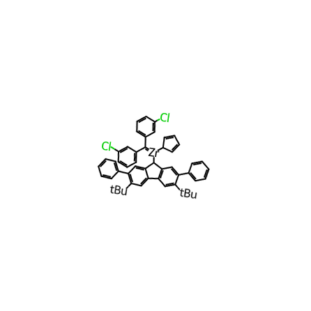 CC(C)(C)c1cc2c(cc1-c1ccccc1)[CH]([Zr](=[C](c1cccc(Cl)c1)c1cccc(Cl)c1)[CH]1C=CC=C1)c1cc(-c3ccccc3)c(C(C)(C)C)cc1-2